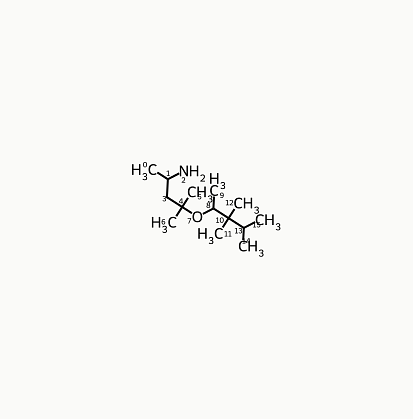 CC(N)CC(C)(C)OC(C)C(C)(C)C(C)C